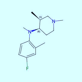 Cc1cc(F)ccc1N(C)[C@@H]1CCN(C)C[C@@H]1C